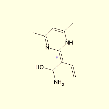 C=C/C(=C1/N=C(C)C=C(C)N1)C(N)O